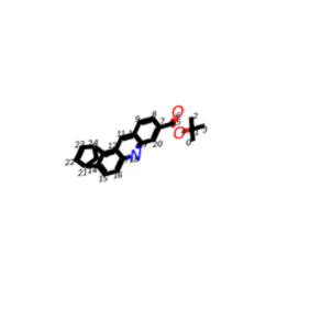 CC(C)(C)OC(=O)c1ccc2cc3c4c(ccc3nc2c1)C1C=CC4C1